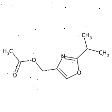 CC(=O)OCc1coc(C(C)C)n1